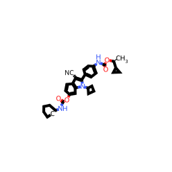 C[C@@H](OC(=O)Nc1ccc(-c2c(C#N)c3ccc(OC(=O)NC4CCCCC4)cc3n2C2CCC2)cc1)C1CC1